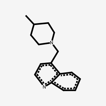 CC1CCN(Cc2ccnc3ccccc23)CC1